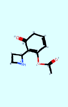 CC(=O)OC1=C(C2CCN2)C(=O)CC=C1